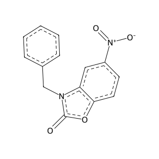 O=c1oc2ccc([N+](=O)[O-])cc2n1Cc1ccccc1